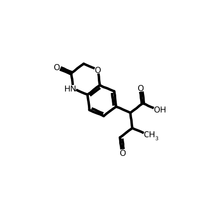 CC(C=O)C(C(=O)O)c1ccc2c(c1)OCC(=O)N2